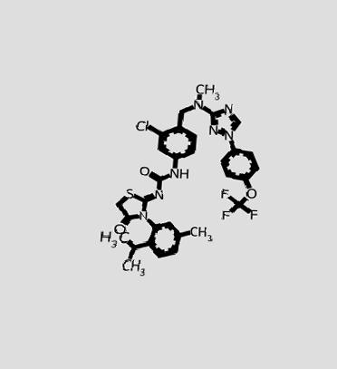 Cc1ccc(C(C)C)c(N2C(=O)CSC2=NC(=O)Nc2ccc(CN(C)c3ncn(-c4ccc(OC(F)(F)F)cc4)n3)c(Cl)c2)c1